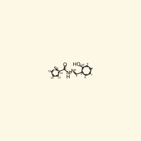 O=C(N/N=C/c1ccccc1O)c1cccs1